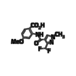 COc1ccc(C(=O)O)c(NC(=O)c2cn(C)nc2C(F)F)c1